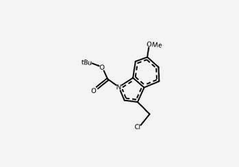 COc1ccc2c(CCl)cn(C(=O)OC(C)(C)C)c2c1